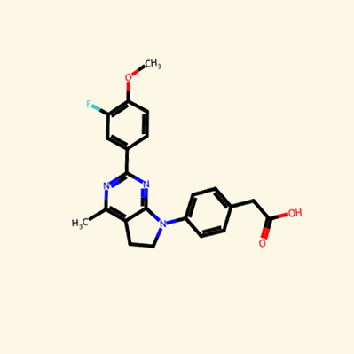 COc1ccc(-c2nc(C)c3c(n2)N(c2ccc(CC(=O)O)cc2)CC3)cc1F